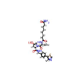 Cc1ncsc1-c1ccc(CNC(=O)[C@@H]2C[C@@H](O)CN2C(=O)[C@@H](NC(=O)CCCCCCC(N)=O)C(C)(C)C)cc1